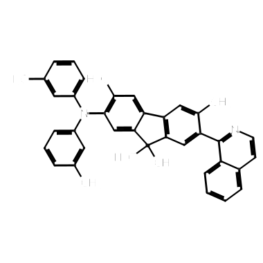 Cc1cccc(N(c2cccc(C)c2)c2cc3c(cc2C)-c2cc(C)c(-c4nccc5ccccc45)cc2C3(C)C)c1